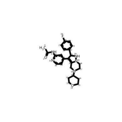 CC(=O)Nc1cc(C2=C3CN(C4CCOCC4)CCN3NC2c2ccc(F)cc2)ccn1